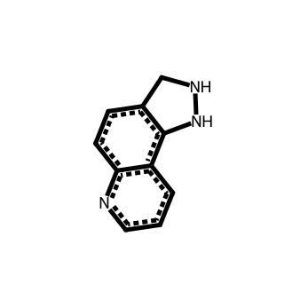 c1cnc2ccc3c(c2c1)NNC3